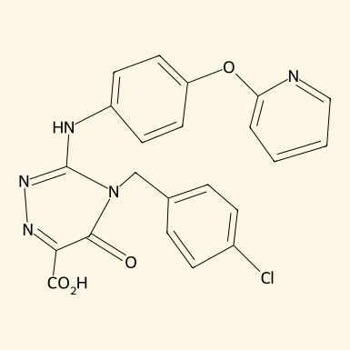 O=C(O)c1nnc(Nc2ccc(Oc3ccccn3)cc2)n(Cc2ccc(Cl)cc2)c1=O